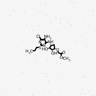 CCCSc1nc(Cl)c(N)c(N[C@@H]2C[C@H](OCC(=O)OC)[C@H](O)[C@H]2O)n1